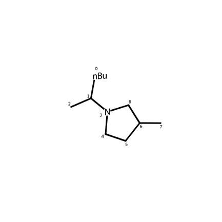 CCCCC(C)N1CCC(C)C1